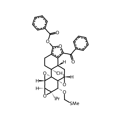 CSCO[C@@H]1[C@@]2(C(C)C)O[C@H]2[C@@H]2O[C@]23[C@]12O[C@H]2C[C@H]1c2c(C(=O)c4ccccc4)oc(OC(=O)c4ccccc4)c2CC[C@@]13C